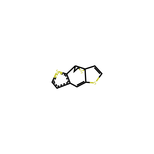 C1=CC23SCC=C2c2sccc2C=C3S1